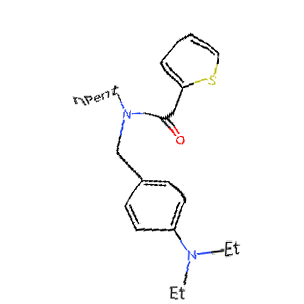 CCCCCN(Cc1ccc(N(CC)CC)cc1)C(=O)c1cccs1